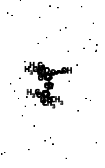 CCCOc1c(OCCCO)cc([C@@H]2CC[C@@H](c3cc(OC)c(OC)c(OC)c3)O2)cc1S(=O)(=O)CC(C)=O